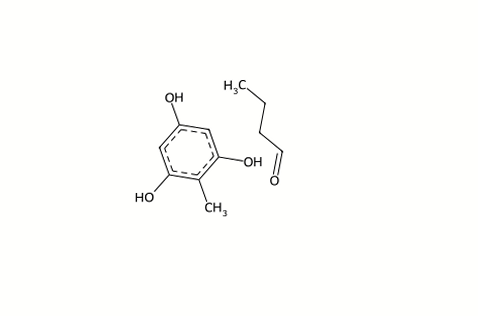 CCCC=O.Cc1c(O)cc(O)cc1O